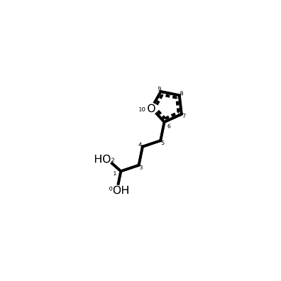 OC(O)CCCc1ccco1